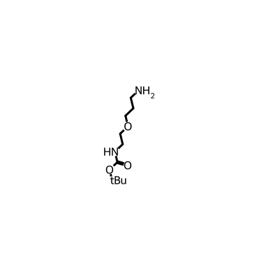 CC(C)(C)OC(=O)NCCOCCCN